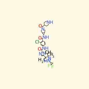 C=C(/C(=N\NC1CC1(F)F)C(F)(F)F)c1cnc(C(=O)Nc2ccc(C(=O)NC3C4CN(C(=O)C5CCNCC5)CC43)c(Cl)c2)n1C